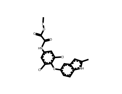 CCOC(=O)C(=O)Nc1cc(Cl)c(Oc2ccc3[nH]c(C)cc3c2)c(Cl)c1